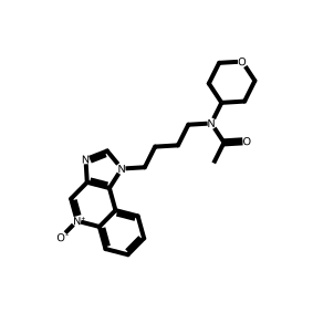 CC(=O)N(CCCCn1cnc2c[n+]([O-])c3ccccc3c21)C1CCOCC1